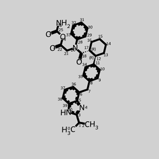 CC(C)c1nc2c(Cc3ccc([C@@H]4CCCC[C@H]4C(=O)N(CC(=O)OC(N)=O)c4ccccc4)cc3)cccc2[nH]1